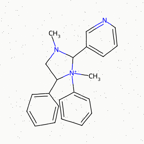 CN1CC(c2ccccc2)[N+](C)(c2ccccc2)C1c1cccnc1